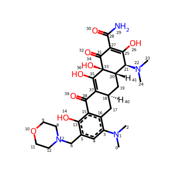 CN(C)c1cc(CN2CCOCC2)c(O)c2c1C[C@@H]1C[C@H]3[C@H](N(C)C)C(O)=C(C(N)=O)C(=O)[C@@]3(O)C(O)=C1C2=O